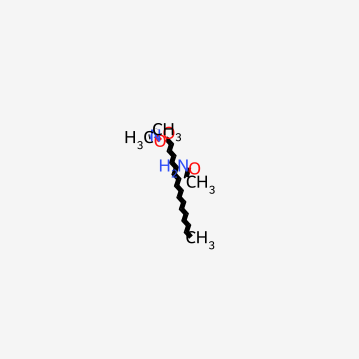 CCC(N)=O.CCCCCCCCCCCCCCCCCC(=O)ON(C)C